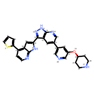 c1csc(-c2ccnc3[nH]c(-c4n[nH]c5ncc(-c6cncc(OC7CCNCC7)c6)cc45)cc23)c1